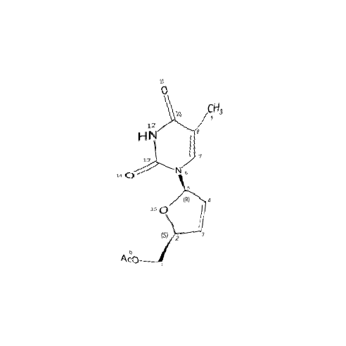 CC(=O)OC[C@@H]1C=C[C@H](n2cc(C)c(=O)[nH]c2=O)O1